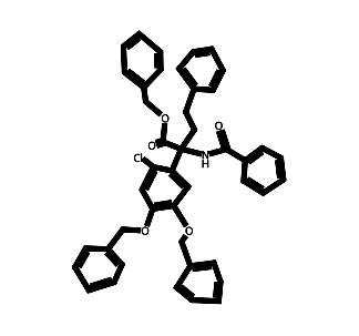 O=C(NC(CCc1ccccc1)(C(=O)OCc1ccccc1)c1cc(OCc2ccccc2)c(OCc2ccccc2)cc1Cl)c1ccccc1